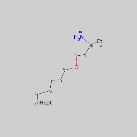 CCCCCCCCCCCCOCCC(N)CC